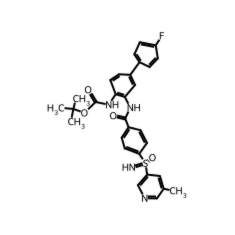 Cc1cncc(S(=N)(=O)c2ccc(C(=O)Nc3cc(-c4ccc(F)cc4)ccc3NC(=O)OC(C)(C)C)cc2)c1